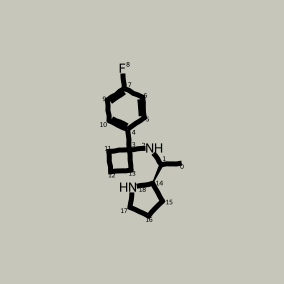 CC(NC1(c2ccc(F)cc2)CCC1)[C@H]1CCCN1